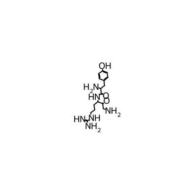 N=C(N)NCCCC(NC(=O)C(N)Cc1ccc(O)cc1)C(=O)CN